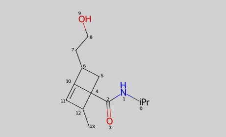 CC(C)NC(=O)C12CC(CCO)C1=CC2C